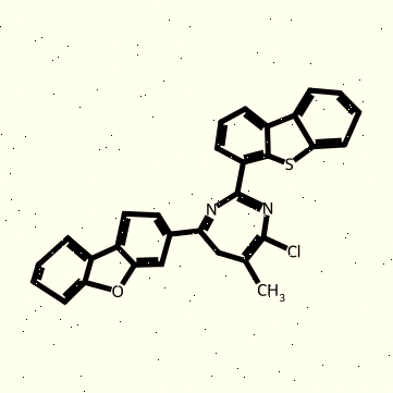 CC1=C(Cl)N=C(c2cccc3c2sc2ccccc23)N=C(c2ccc3c(c2)oc2ccccc23)C1